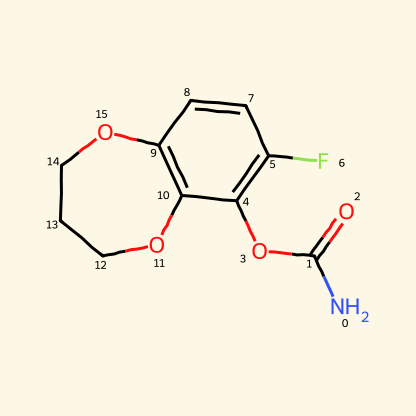 NC(=O)Oc1c(F)ccc2c1OCCCO2